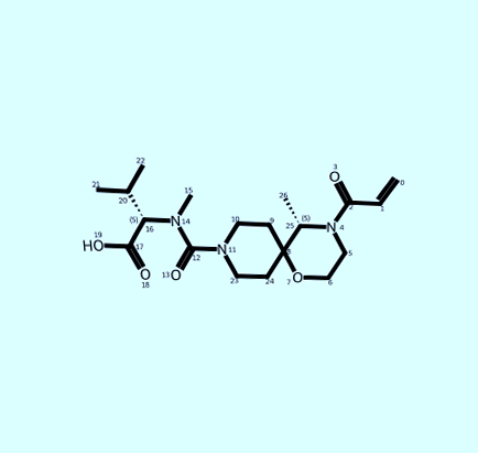 C=CC(=O)N1CCOC2(CCN(C(=O)N(C)[C@H](C(=O)O)C(C)C)CC2)[C@@H]1C